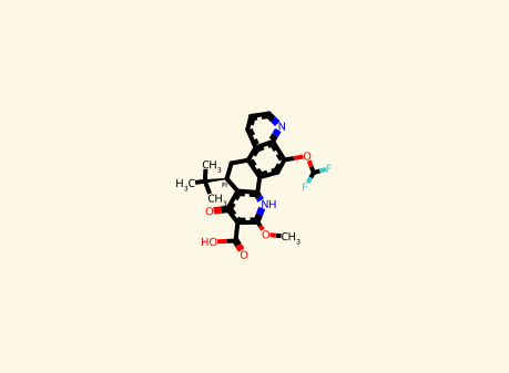 COc1[nH]c2c(c(=O)c1C(=O)O)[C@@H](C(C)(C)C)Cc1c-2cc(OC(F)F)c2ncccc12